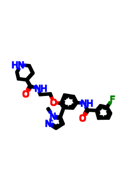 Cn1nccc1-c1cc(NC(=O)c2cccc(F)c2)ccc1OCCNC(=O)C1CCNCC1